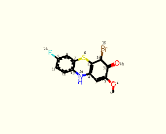 COC1=CC2=C(Sc3cc(F)ccc3N2)C(Br)C1=O